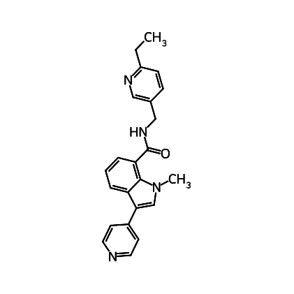 CCc1ccc(CNC(=O)c2cccc3c(-c4ccncc4)cn(C)c23)cn1